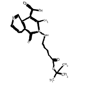 Cc1c(C(=O)O)c2cnccc2c(=O)n1NCCCC(=O)OC(C)(C)C